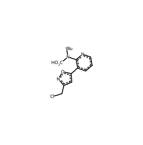 CC(C)(C)N(C(=O)O)c1ncccc1-c1cc(CCl)no1